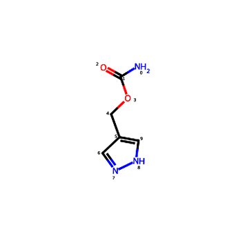 NC(=O)OCc1cn[nH]c1